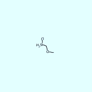 COC[SiH2]Cl